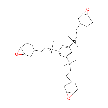 C[Si](C)(CCC1CCC2OC2C1)c1cc([Si](C)(C)CCC2CCC3OC3C2)cc([Si](C)(C)CCC2CCC3OC3C2)c1